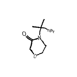 CCCC(C)(C)N1CCOCC1=O